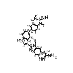 CN(C)C(=N)N(C)c1ccc(-c2ccc3[nH]cc(-c4nc5ccc(NC(=N)N)cc5n4C)c3c2)cc1